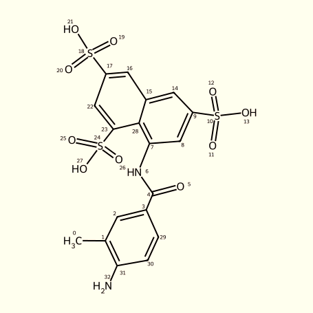 Cc1cc(C(=O)Nc2cc(S(=O)(=O)O)cc3cc(S(=O)(=O)O)cc(S(=O)(=O)O)c23)ccc1N